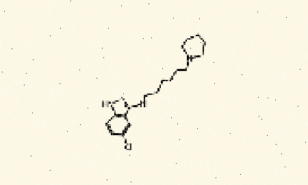 Clc1ccc2[nH]nc(NCCCCCCN3CCCCC3)c2c1